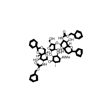 CN[C@@H]1C[C@H](C)[C@@H](O[C@H]2O[C@@H]3COC(c4ccccc4)O[C@H]3[C@H](O)[C@H]2NC(=O)OCc2ccccc2)[C@H](O[C@@H]2O[C@H](CO)[C@@H](O[C@H]3O[C@H]4CCC(c5ccccc5)O[C@H]4[C@H](O)[C@H]3NC(=O)OCc3ccccc3)[C@H]2O)[C@H]1O